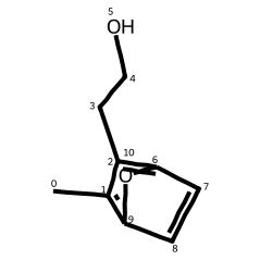 Cc1c(CCO)c2ccc1o2